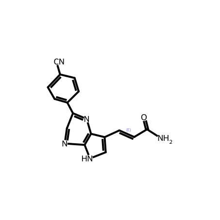 N#Cc1ccc(-c2cnc3[nH]cc(/C=C/C(N)=O)c3n2)cc1